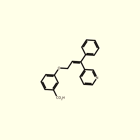 O=C(O)c1cccc(OCC=C(c2ccccc2)c2cccnc2)c1